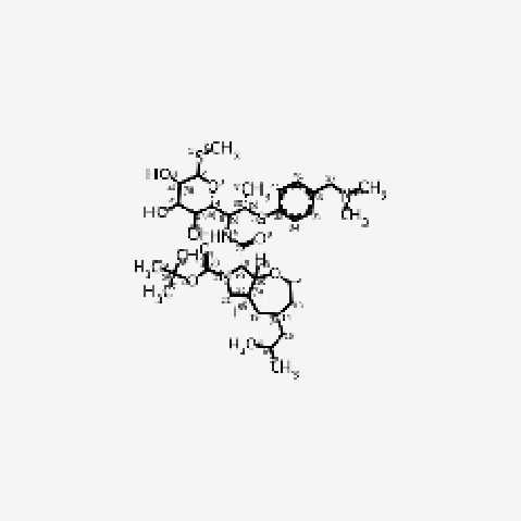 CSC1O[C@H]([C@H](NC(=O)[C@@H]2[C@@H]3OCC[C@@H](CC(C)C)C[C@H]3CN2C(=O)OC(C)(C)C)[C@H](C)Sc2ccc(CN(C)C)cc2)C(O)C(O)[C@H]1O